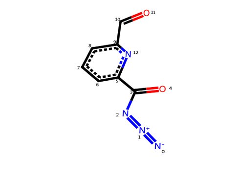 [N-]=[N+]=NC(=O)c1cccc(C=O)n1